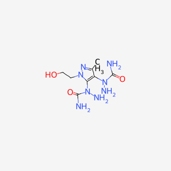 Cc1nn(CCO)c(N(N)C(N)=O)c1N(N)C(N)=O